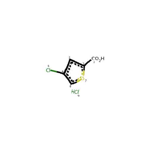 Cl.O=C(O)c1cc(Cl)cs1